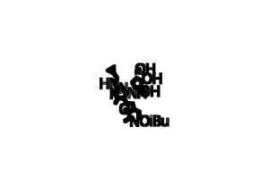 Cc1nc(NCC2CC2)nc(N[C@@H]2C[C@H](CO)[C@@H](O)[C@H]2O)c1-c1cc2cc(OCC(C)C)nc(C)c2o1